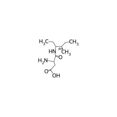 CCC(NC(=O)C(N)CC(=O)O)[C@H](C)CC